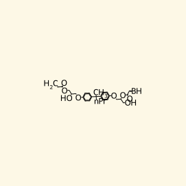 B=CC(=O)OC(CO)COc1ccc(C(C)(CCC)c2ccc(OCC(O)COC(=O)C=C)cc2)cc1